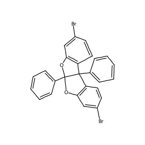 Brc1ccc2c(c1)OC1(c3ccccc3)Oc3cc(Br)ccc3C21c1ccccc1